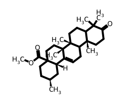 COC(=O)C12CC[C@H](C)C[C@H]1C1=CCC3[C@@]4(C)CCC(=O)C(C)(C)C4CC[C@@]3(C)[C@@]1(C)CC2